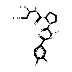 C[C@H](NC(=O)c1ccc(F)c(F)c1)C(=O)N1CCC[C@H]1C(=O)N[C@H](C=O)CC(=O)O